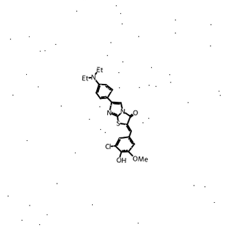 CCN(CC)c1ccc(-c2cn3c(=O)/c(=C/c4cc(Cl)c(O)c(OC)c4)sc3n2)cc1